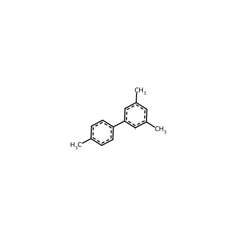 Cc1[c]c(-c2ccc(C)cc2)cc(C)c1